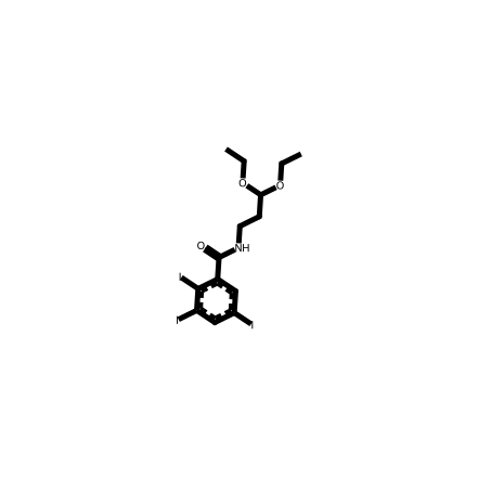 CCOC(CCNC(=O)c1cc(I)cc(I)c1I)OCC